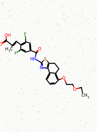 CCOCCOc1cccc2c1CCc1sc(NC(=O)c3cc(F)c(/C=C(\C)C(=O)O)c(F)c3)nc1-2